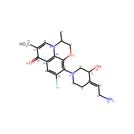 CC1COc2c(N3CCC(=CCN)C(O)C3)c(F)cc3c(=O)c(C(=O)O)cn1c23